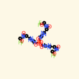 CC1CN(c2ncc(-c3ccc4c(=O)n(C)n(Cc5ccccc5OC(F)F)c4c3)cn2)CCN1C(=O)COP(=O)(OCC(=O)N1CCN(c2ncc(-c3ccc4c(=O)n(C)n(Cc5ccccc5OC(F)F)c4c3)cn2)CC1C)OCC(=O)N1CCN(c2ncc(-c3ccc4c(=O)n(C)n(Cc5ccccc5OC(F)F)c4c3)cn2)CC1C